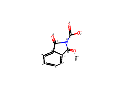 O=C([O-])N1C(=O)c2ccccc2C1=O.[K+]